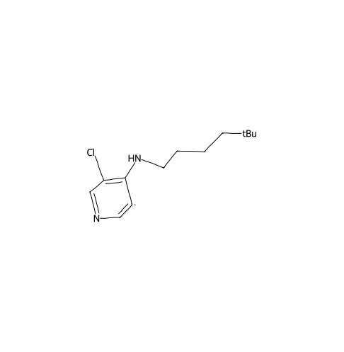 CC(C)(C)CCCCNc1[c]cncc1Cl